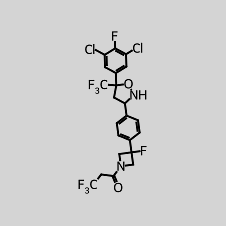 O=C(CC(F)(F)F)N1CC(F)(c2ccc(C3CC(c4cc(Cl)c(F)c(Cl)c4)(C(F)(F)F)ON3)cc2)C1